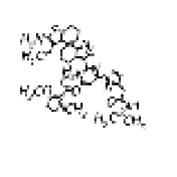 C=Cc1c(N)sc2c1[C@@]1(CCC2)CCCc2c1noc2-c1nc(O[C@@H](C)[C@@H]2[C@@H](OC)CCN2C)cc(-n2ccc(CC(=O)NC(C)C)n2)n1